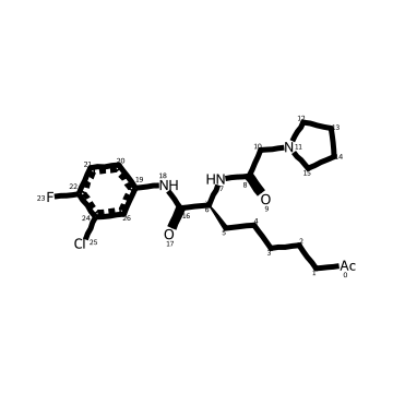 CC(=O)CCCCC[C@H](NC(=O)CN1CCCC1)C(=O)Nc1ccc(F)c(Cl)c1